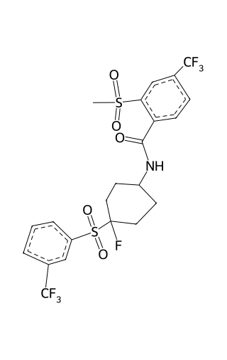 CS(=O)(=O)c1cc(C(F)(F)F)ccc1C(=O)NC1CCC(F)(S(=O)(=O)c2cccc(C(F)(F)F)c2)CC1